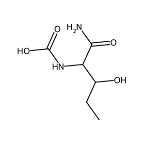 CCC(O)C(NC(=O)O)C(N)=O